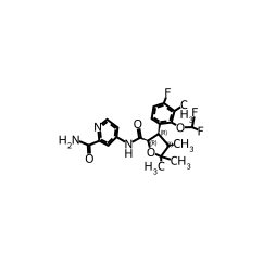 Cc1c(F)ccc([C@H]2[C@@H](C)C(C)(C)O[C@H]2C(=O)Nc2ccnc(C(N)=O)c2)c1OC(F)F